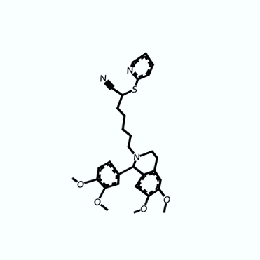 COc1ccc(C2c3cc(OC)c(OC)cc3CCN2CCCCCC(C#N)Sc2ccccn2)cc1OC